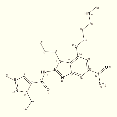 CCCn1c(NC(=O)c2cc(C)nn2CC)nc2cc(C(N)=O)cc(OCCCNC)c21